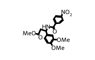 COC(=O)CC(NC(=O)c1ccc([N+](=O)[O-])cc1)c1ccc(OC)c(OC)c1